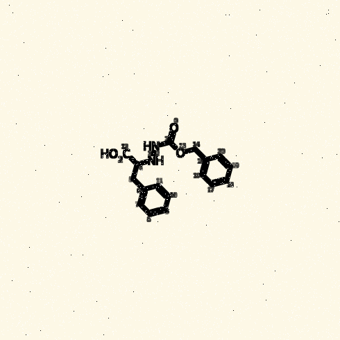 O=C(NNC(Cc1ccccc1)C(=O)O)OCc1ccccc1